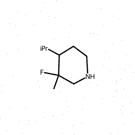 CC(C)C1CCNCC1(C)F